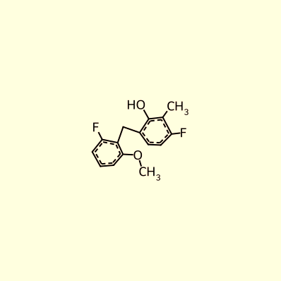 COc1cccc(F)c1Cc1ccc(F)c(C)c1O